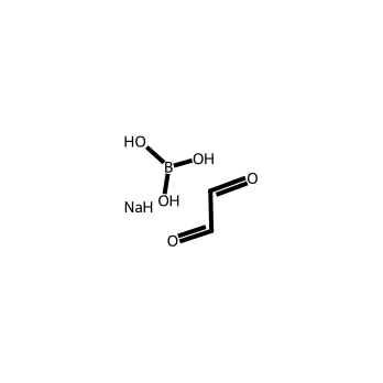 O=CC=O.OB(O)O.[NaH]